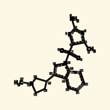 Cc1nc(N)sc1S(=O)(=O)n1cc(C2CCN(C)C2)c2ccccc21